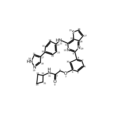 O=C(COc1cccc(-c2nc(Nc3ccc(-c4cn[nH]c4)cc3)c3sccc3n2)c1)NC1CCC1